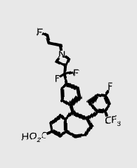 O=C(O)c1ccc2c(c1)CCCC(c1ccc(F)cc1C(F)(F)F)=C2c1ccc(C(F)(F)C2CN(CCCF)C2)cc1